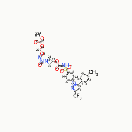 Cc1ccc(-c2cc(C(F)(F)F)nn2-c2ccc(S(=O)(=O)NC(=O)OC3CN(/[N+]([O-])=N\OCOC(=O)OC(C)C)C3)cc2)cc1